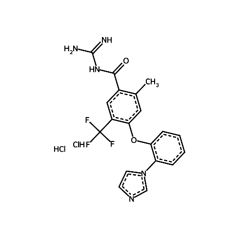 Cc1cc(Oc2ccccc2-n2ccnc2)c(C(F)(F)F)cc1C(=O)NC(=N)N.Cl.Cl